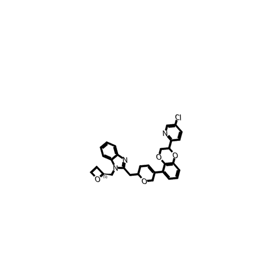 Clc1ccc(C2COc3c(cccc3C3=CCC(Cc4nc5ccccc5n4C[C@@H]4CCO4)OC3)O2)nc1